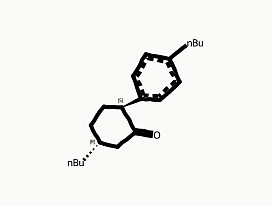 CCCCc1ccc([C@@H]2CC[C@@H](CCCC)CC2=O)cc1